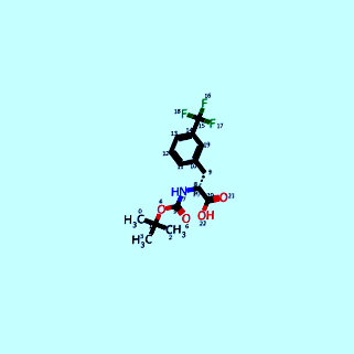 CC(C)(C)OC(=O)N[C@H](Cc1cccc(C(F)(F)F)c1)C(=O)O